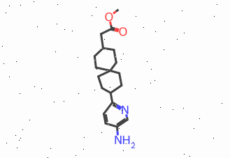 COC(=O)CC1CCC2(CC1)CCC(c1ccc(N)cn1)CC2